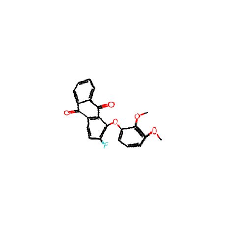 COc1cccc(Oc2c(F)ccc3c2C(=O)c2ccccc2C3=O)c1OC